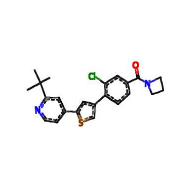 CC(C)(C)c1cc(-c2cc(-c3ccc(C(=O)N4CCC4)cc3Cl)cs2)ccn1